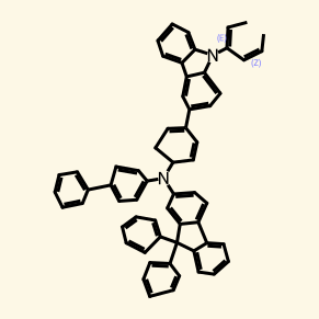 C/C=C\C(=C/C)n1c2ccccc2c2cc(C3=CCC(N(c4ccc(-c5ccccc5)cc4)c4ccc5c(c4)C(c4ccccc4)(c4ccccc4)c4ccccc4-5)C=C3)ccc21